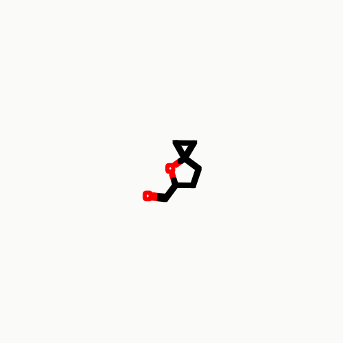 O=CC1CCC2(CC2)O1